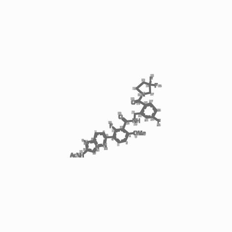 COc1ccc(-c2ccc3nc(NC(C)=O)cn3n2)c(F)c1C(=O)NCc1cc(F)ccc1C(=O)N1CCC(F)(F)C1